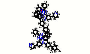 Cc1ccc(-c2ccc3c4ccc(-c5ccc(Cc6ccc7c(c6)c6cc(-c8c(C)cc(C)cc8C)ccc6n7-c6ccc(-c7cccnc7)cc6-c6nc(-c7ccccc7)nc(-c7ccccc7)n6)cc5C)cc4n(-c4ccc(-c5cccnc5)cc4-c4nc(-c5ccccc5)nc(-c5ccccc5)n4)c3c2)c(C)c1